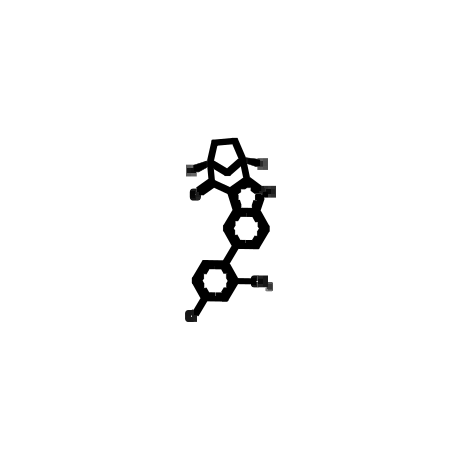 Cc1cc(Cl)ccc1-c1ccc2[nH]c3c(c2c1)C(=O)[C@@H]1CC[C@H]3C1